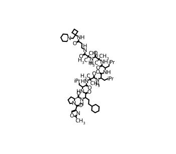 Cc1nc(C(=O)N2CCC[C@H]2C(=O)NC(CCC2CCCCC2)C(=O)NC(CC(C)C)C(=O)NC(C)(C)C(=O)NC(CC(C)C)C(=O)NC(CC(C)C)C(=O)NC(C)(C)C(=O)NC(C)(C)C(=O)NCCC(=O)NC2(CN3CCCCC3)CCC2)co1